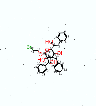 OC(Cc1ccccc1)[C@H]1O[C@H](OCCBr)[C@@](O)(Cc2ccccc2)[C@](O)(Cc2ccccc2)[C@@H]1O